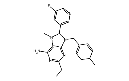 CCc1nc(N)c2c(n1)N(CC1=CCC(C)C=C1)C(c1cncc(F)c1)N2C